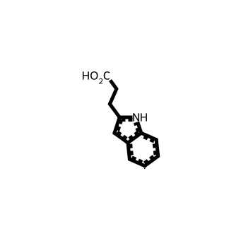 O=C(O)CCc1cc2c[c]ccc2[nH]1